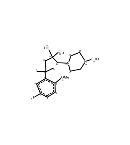 COc1ccc(F)cc1C(C)(C)CC(O)(CN1CCN(C=O)CC1)C(F)(F)F